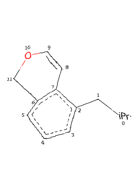 C[C](C)Cc1cccc2c1C=COC2